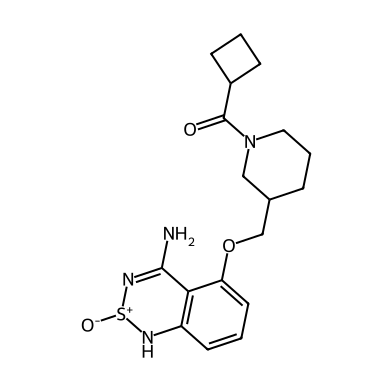 NC1=N[S+]([O-])Nc2cccc(OCC3CCCN(C(=O)C4CCC4)C3)c21